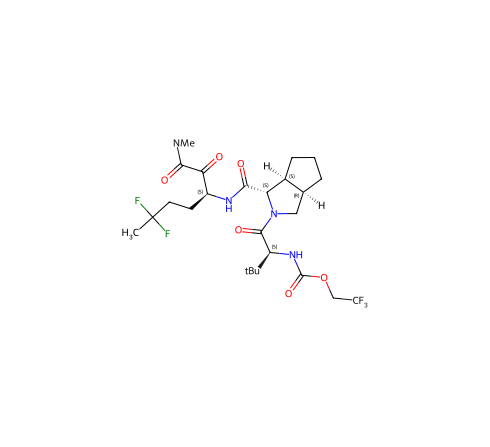 CNC(=O)C(=O)[C@H](CCC(C)(F)F)NC(=O)[C@@H]1[C@H]2CCC[C@H]2CN1C(=O)[C@@H](NC(=O)OCC(F)(F)F)C(C)(C)C